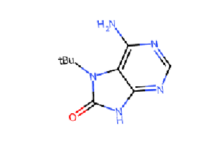 CC(C)(C)n1c(=O)[nH]c2ncnc(N)c21